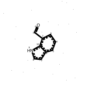 O=[C]c1cccc2cc[nH]c12